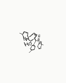 Cc1ccc(C(Nc2cccc(C)n2)c2ccc3ccc(C)nc3c2O)cc1